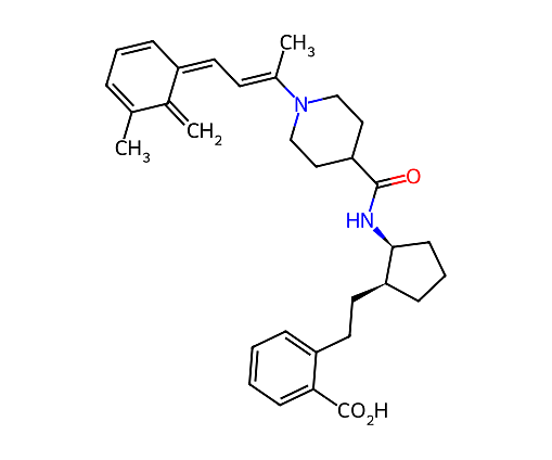 C=c1c(C)ccc/c1=C/C=C(\C)N1CCC(C(=O)N[C@H]2CCC[C@H]2CCc2ccccc2C(=O)O)CC1